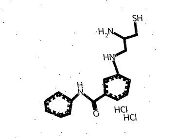 Cl.Cl.NC(CS)CNc1cccc(C(=O)Nc2ccccc2)c1